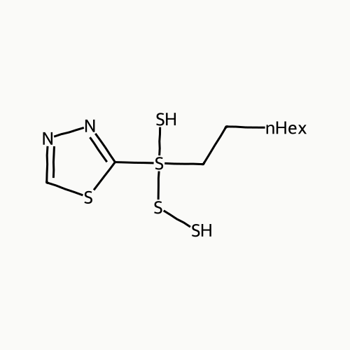 CCCCCCCCS(S)(SS)c1nncs1